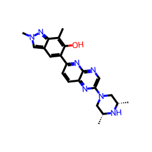 Cc1c(O)c(-c2ccc3nc(N4C[C@@H](C)N[C@@H](C)C4)cnc3n2)cc2cn(C)nc12